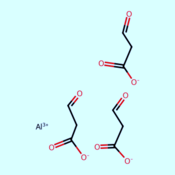 O=CCC(=O)[O-].O=CCC(=O)[O-].O=CCC(=O)[O-].[Al+3]